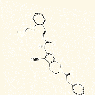 CCOc1ccccc1C=CC(=O)Nc1sc2c(c1C#N)CCN(C(=O)Cc1ccccn1)C2